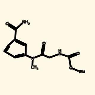 CN(C(=O)CNC(=O)OC(C)(C)C)c1cccc(C(N)=O)c1